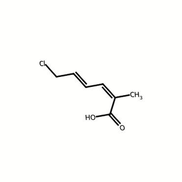 CC(=CC=CCCl)C(=O)O